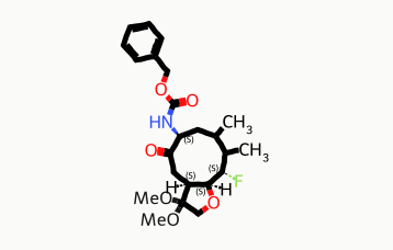 COC1(OC)CO[C@@H]2[C@@H](F)C(C)C(C)C[C@H](NC(=O)OCc3ccccc3)C(=O)C[C@@H]21